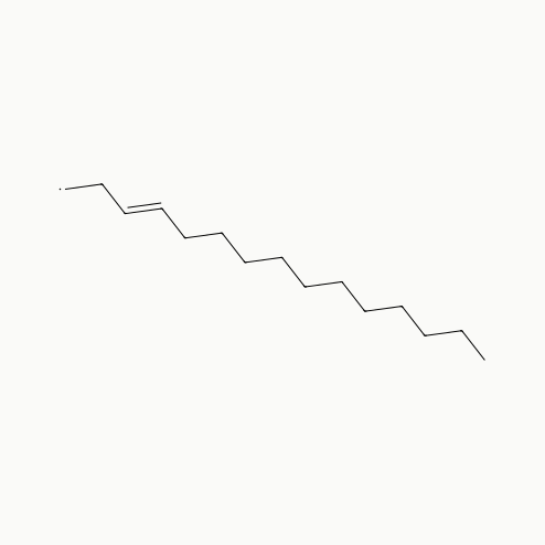 [CH2]CC=CCCCCCCCCCCC